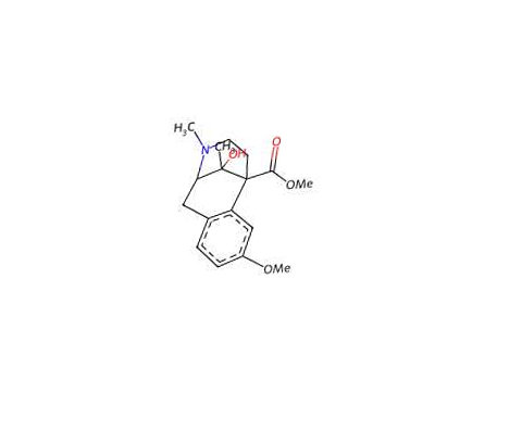 COC(=O)C12CCN(C)C(Cc3ccc(OC)cc31)C2(C)O